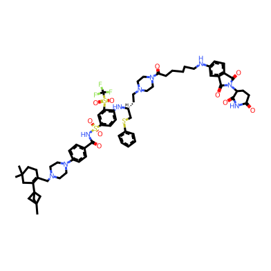 CC1(C)CCC(CN2CCN(c3ccc(C(=O)NS(=O)(=O)c4ccc(N[C@H](CCN5CCN(C(=O)CCCCCNc6ccc7c(c6)C(=O)N(C6CCC(=O)NC6=O)C7=O)CC5)CSc5ccccc5)c(S(=O)(=O)C(F)(F)F)c4)cc3)CC2)=C(C23CC(C)(C2)C3)C1